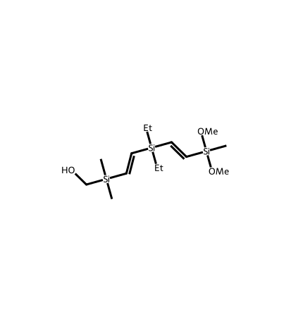 CC[Si](C=C[Si](C)(C)CO)(C=C[Si](C)(OC)OC)CC